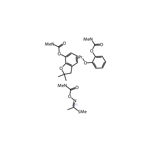 CNC(=O)O/N=C(\C)SC.CNC(=O)Oc1cccc2c1OC(C)(C)C2.CNC(=O)Oc1ccccc1OC(C)C